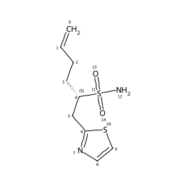 C=CCC[C@@H](Cc1nccs1)S(N)(=O)=O